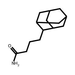 NC(=O)CCCC1C2CC3CC(C2)CC1C3